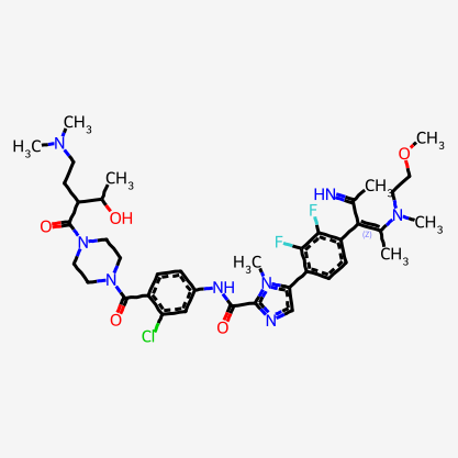 COCCN(C)/C(C)=C(\C(C)=N)c1ccc(-c2cnc(C(=O)Nc3ccc(C(=O)N4CCN(C(=O)C(CCN(C)C)C(C)O)CC4)c(Cl)c3)n2C)c(F)c1F